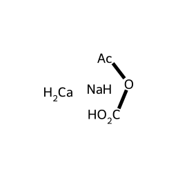 CC(=O)OC(=O)O.[CaH2].[NaH]